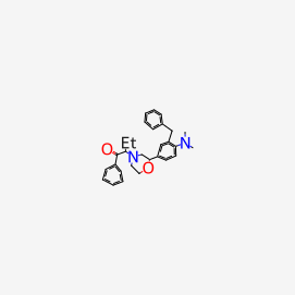 CCC(C(=O)c1ccccc1)N1CCOC(c2ccc(N(C)C)c(Cc3ccccc3)c2)C1